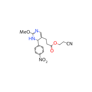 COC1=NC=C(CCC(=O)OCCC#N)C(c2ccc([N+](=O)[O-])cc2)N1